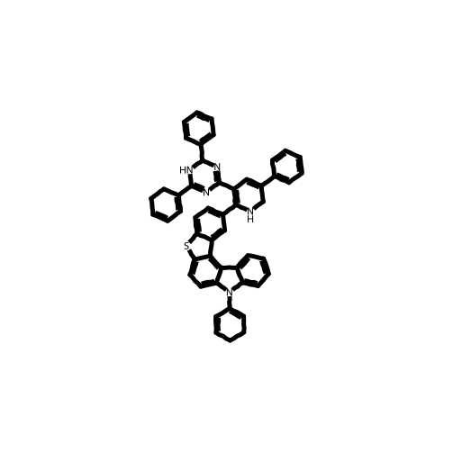 C1=CCCC(C2=NC(C3=C(c4ccc5sc6ccc7c(c8ccccc8n7C7=CCCC=C7)c6c5c4)NCC(c4ccccc4)=C3)=NC(c3ccccc3)N2)=C1